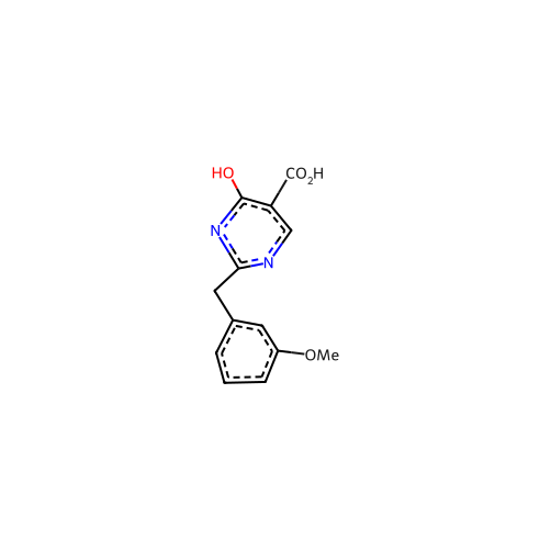 COc1cccc(Cc2ncc(C(=O)O)c(O)n2)c1